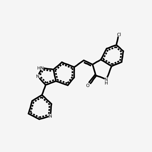 O=C1Nc2ccc(Cl)cc2C1=Cc1ccc2c(-c3cccnc3)n[nH]c2c1